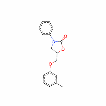 Cc1cccc(OCC2CN(c3ccccc3)C(=O)O2)c1